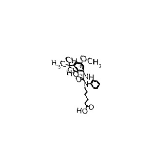 COc1cc(NC(=O)N(CCCCCC(=O)O)c2ccccc2)c(O)c(C(C)(C)C)c1